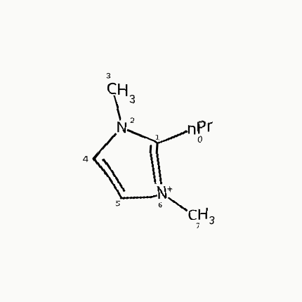 CCCc1n(C)cc[n+]1C